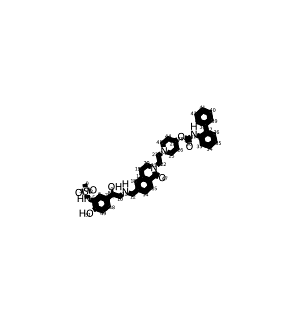 CS(=O)(=O)Nc1cc([C@@H](O)CNCc2ccc3c(c2)CCN(CCN2CCC(OC(=O)Nc4ccccc4-c4ccccc4)CC2)C3=O)ccc1O